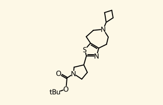 CC(C)(C)OC(=O)N1CCC(c2nc3c(s2)CCN(C2CCC2)CC3)C1